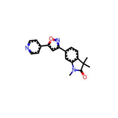 CN1C(=O)C(C)(C)c2ccc(-c3cc(-c4ccncc4)on3)cc21